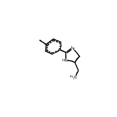 Cc1ccc(C2=NCC(CN)N2)cc1